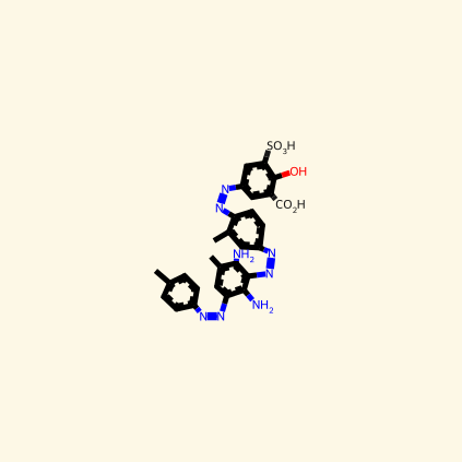 Cc1ccc(/N=N\c2cc(C)c(N)c(/N=N\c3ccc(/N=N\c4cc(C(=O)O)c(O)c(S(=O)(=O)O)c4)c(C)c3)c2N)cc1